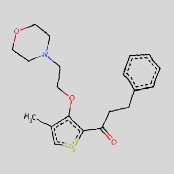 Cc1csc(C(=O)CCc2ccccc2)c1OCCN1CCOCC1